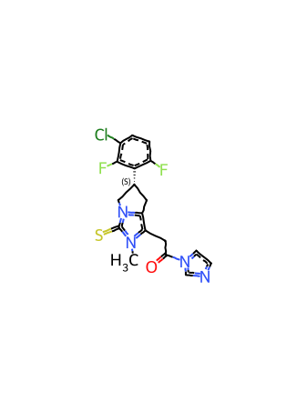 Cn1c(CC(=O)n2ccnc2)c2n(c1=S)C[C@H](c1c(F)ccc(Cl)c1F)C2